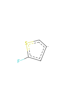 Fc1c[c]cs1